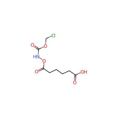 O=C(O)CCCCC(=O)ONC(=O)OCCl